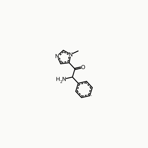 Cn1cncc1C(=O)C(N)c1cc[c]cc1